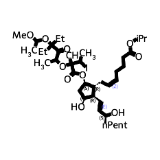 CCCCC[C@H](O)/C=C/[C@@H]1[C@@H](C/C=C\CCCC(=O)OC(C)C)[C@@H](OC(=O)C(C)(OC(C)C(=O)C(CC)(CC)OC(C)OC)C(C)I)C[C@H]1O